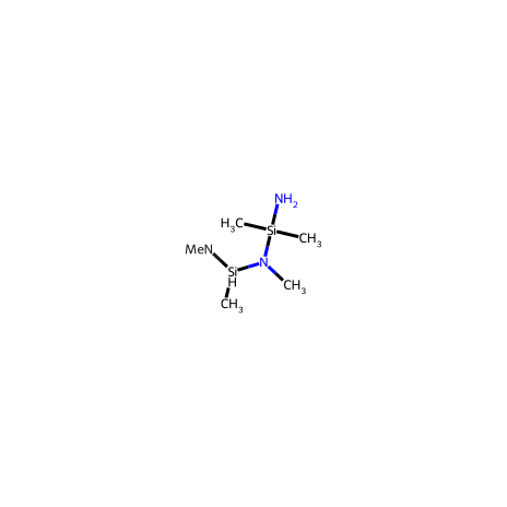 CN[SiH](C)N(C)[Si](C)(C)N